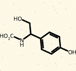 O=C(O)NC(CO)c1ccc(O)cc1